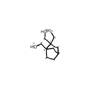 OCC1(CO)CC2CCC1(CO)C2